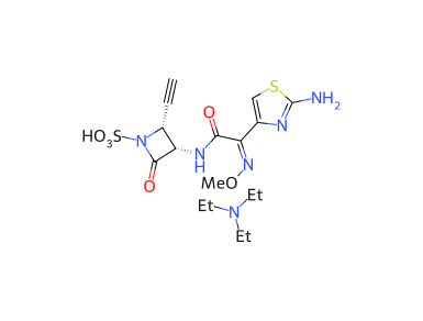 C#C[C@@H]1[C@H](NC(=O)/C(=N\OC)c2csc(N)n2)C(=O)N1S(=O)(=O)O.CCN(CC)CC